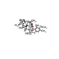 COc1c(C)cc2c(c1O)[C@H]1N[C@@H](C2)[C@H](O)N2[C@H]1[C@@H]1SC[C@H](N)C(=O)OC[C@H]2c2c(O)c(OC)c(C)c(OC(C)=O)c21